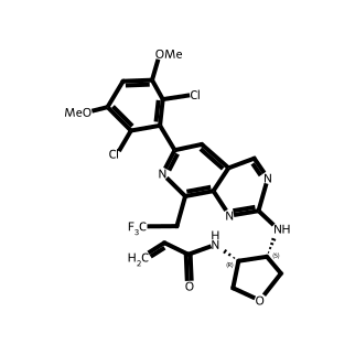 C=CC(=O)N[C@H]1COC[C@H]1Nc1ncc2cc(-c3c(Cl)c(OC)cc(OC)c3Cl)nc(CC(F)(F)F)c2n1